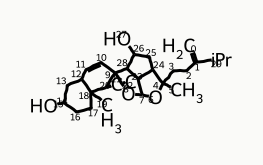 C=C(CCC1(C)OC2OC34C=CC5CC(O)CCC5(C)C3CCC23C1CC(O)C43)C(C)C